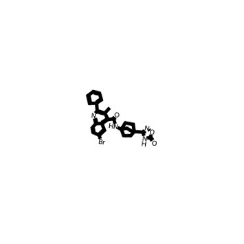 Cc1c(-c2ccccc2)nc2ccc(Br)cc2c1C(=O)NC12CCC(c3noc(=O)[nH]3)(CC1)CC2